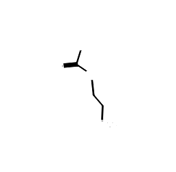 CCC(C)C(=O)OCCSC